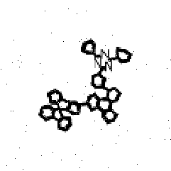 C1=Cc2c(c3ccc(-c4ccc5c(c4)-c4ccccc4C54c5ccccc5-c5ccccc54)cc3c3ccccc23)C(c2cccc(-c3nc(-c4ccccc4)nc(-c4ccccc4)n3)c2)C1